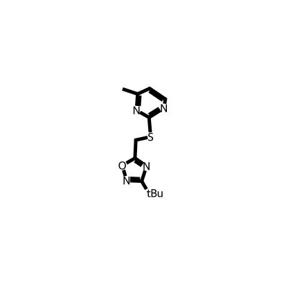 Cc1ccnc(SCc2nc(C(C)(C)C)no2)n1